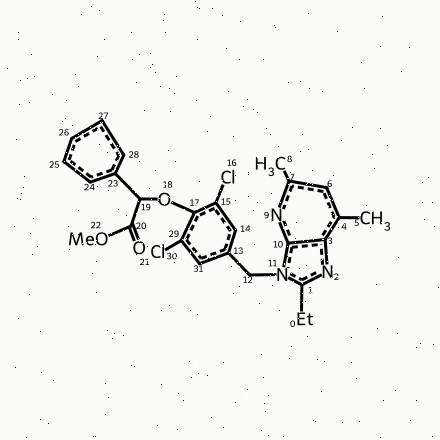 CCc1nc2c(C)cc(C)nc2n1Cc1cc(Cl)c(OC(C(=O)OC)c2ccccc2)c(Cl)c1